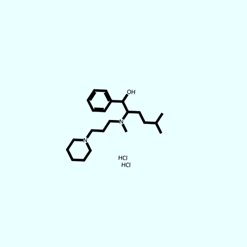 CC(C)CCC(C(O)c1ccccc1)N(C)CCCN1CCCCC1.Cl.Cl